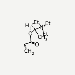 C=CC(=O)OC(C)(C)[N+](CC)(CC)CC